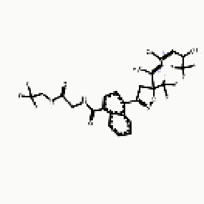 C/C(=C\C(Cl)=C/C(C)C(F)(F)F)C1(C(F)(F)F)CC(c2ccc(C(=O)NCC(=O)NCC(F)(F)F)c3ccccc23)=NO1